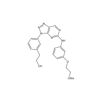 COCCOc1cccc(Nc2ncc3nnn(-c4cccc(CCO)c4)c3n2)c1